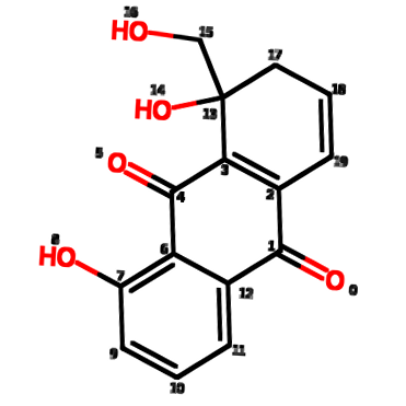 O=C1C2=C(C(=O)c3c(O)cccc31)C(O)(CO)CC=C2